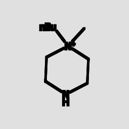 CCCC[N+]1(C)CCNCC1